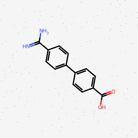 N=C(N)c1ccc(-c2ccc(C(=O)O)cc2)cc1